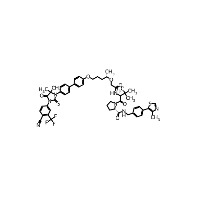 Cc1ncsc1-c1ccc(CNC(=O)[C@@H]2CCCN2C(=O)C(NC(=O)CO[C@@H](C)CCCOc2ccc(-c3ccc(N4C(=S)N(c5ccc(C#N)c(C(F)(F)F)c5)C(=O)C4(C)C)cc3)cc2)C(C)(C)C)cc1